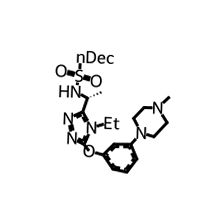 CCCCCCCCCCS(=O)(=O)N[C@H](C)c1nnc(Oc2cccc(N3CCN(C)CC3)c2)n1CC